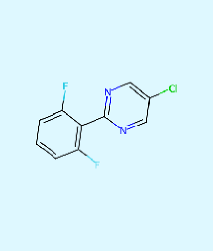 Fc1cccc(F)c1-c1ncc(Cl)cn1